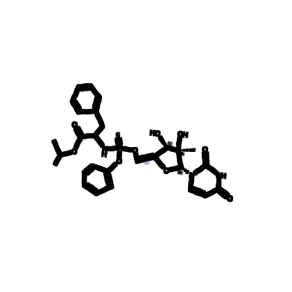 CC(C)OC(=O)C(Cc1ccccc1)NP(=S)(O/C=C1/O[C@@H](n2ccc(=O)[nH]c2=O)[C@](C)(O)[C@@H]1O)Oc1ccccc1